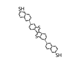 Sc1ccc2cc(-c3ccc4c(c3)sc3c5ccc(-c6ccc7cc(S)ccc7c6)cc5sc43)ccc2c1